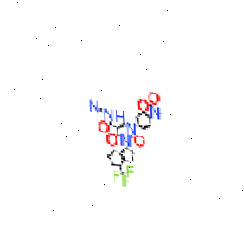 Cn1c(=O)oc2cc(-n3cc(C(=O)NC#N)c(=O)n(C4CCc5c4cccc5C(F)(F)F)c3=O)ccc21